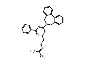 CC(C)=NOCCOC(=NC(=O)c1ccccc1)N1Cc2ccccc2-c2ccccc2C1